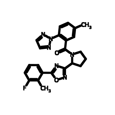 Cc1ccc(-n2nccn2)c(C(=O)N2CCCC2c2noc(-c3cccc(F)c3C)n2)c1